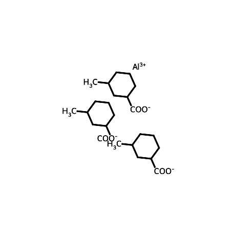 CC1CCCC(C(=O)[O-])C1.CC1CCCC(C(=O)[O-])C1.CC1CCCC(C(=O)[O-])C1.[Al+3]